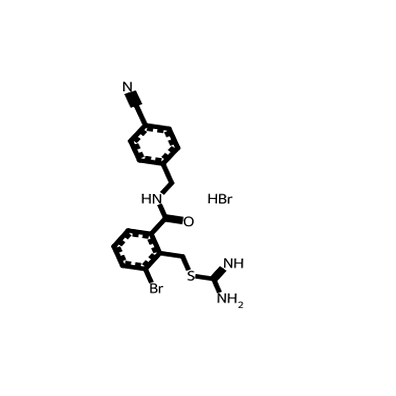 Br.N#Cc1ccc(CNC(=O)c2cccc(Br)c2CSC(=N)N)cc1